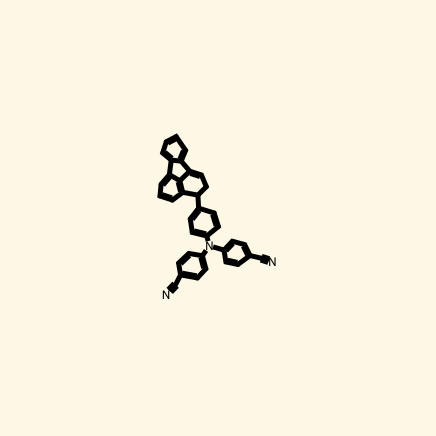 N#Cc1ccc(N(c2ccc(C#N)cc2)c2ccc(C3CC=C4c5ccccc5-c5cccc3c54)cc2)cc1